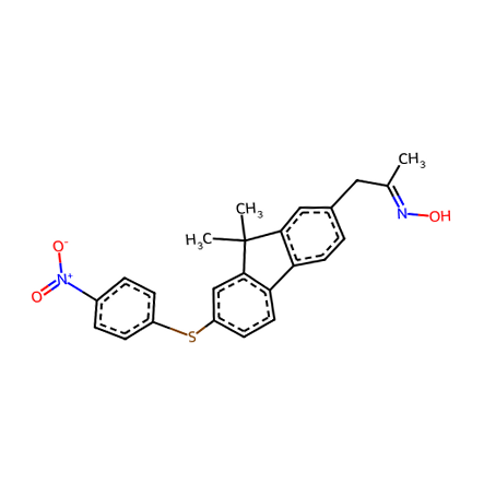 CC(Cc1ccc2c(c1)C(C)(C)c1cc(Sc3ccc([N+](=O)[O-])cc3)ccc1-2)=NO